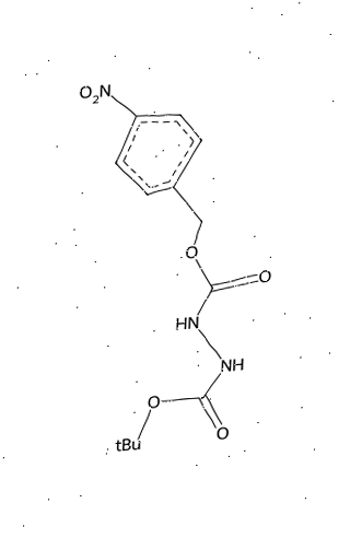 CC(C)(C)OC(=O)NNC(=O)OCc1ccc([N+](=O)[O-])cc1